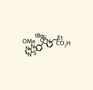 CCC(Cc1cccc(C(O[Si](C)(C)C(C)(C)C)c2ccc3c(c2)N(COC)c2nccnc2S3)n1)C(=O)O